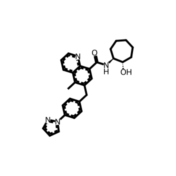 Cc1c(Cc2ccc(-n3cccn3)cc2)cc(C(=O)N[C@H]2CCCCC[C@@H]2O)c2ncccc12